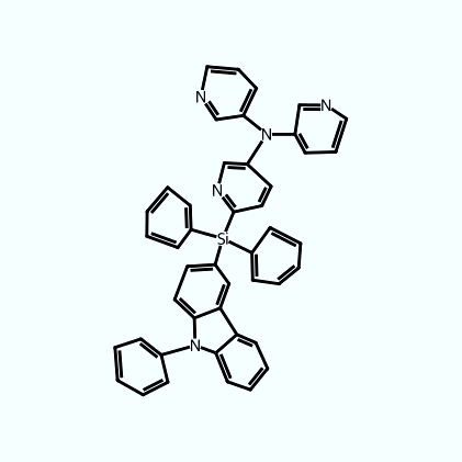 c1ccc(-n2c3ccccc3c3cc([Si](c4ccccc4)(c4ccccc4)c4ccc(N(c5cccnc5)c5cccnc5)cn4)ccc32)cc1